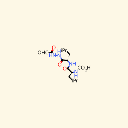 CC(C)C[C@H](NC(=O)O)C(=O)N[C@@H](CC(C)C)C(=O)NNC(=O)C=O